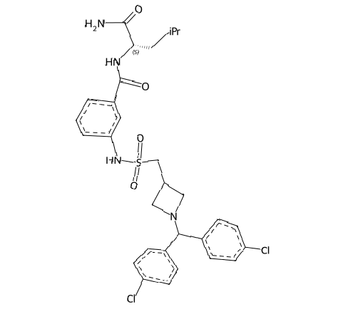 CC(C)C[C@H](NC(=O)c1cccc(NS(=O)(=O)CC2CN(C(c3ccc(Cl)cc3)c3ccc(Cl)cc3)C2)c1)C(N)=O